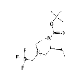 CC[C@H]1CN(C[B-](F)(F)F)CCN1C(=O)OC(C)(C)C